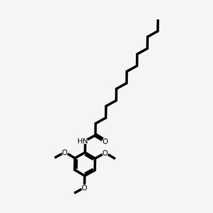 CCCCCCCCCCCCCC(=O)Nc1c(OC)cc(OC)cc1OC